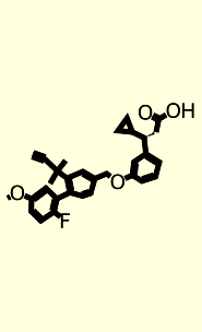 C#CC(C)(C)c1cc(COc2cccc([C@@H](CC(=O)O)C3CC3)c2)ccc1-c1cc(OC)ccc1F